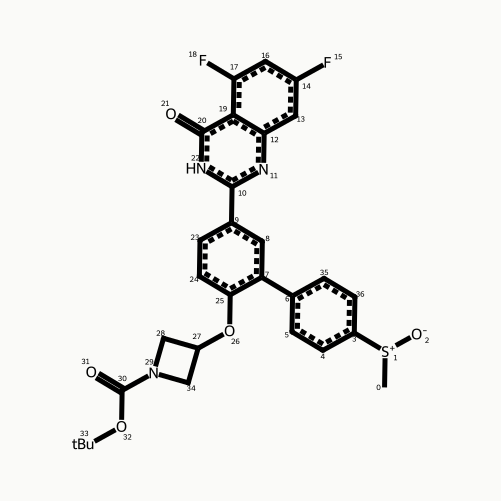 C[S+]([O-])c1ccc(-c2cc(-c3nc4cc(F)cc(F)c4c(=O)[nH]3)ccc2OC2CN(C(=O)OC(C)(C)C)C2)cc1